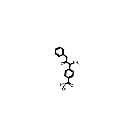 NC(C(=O)Cc1ccccc1)c1ccc(C(=O)NO)cc1